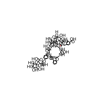 CC(c1ccccc1)C1NC(=O)CNC(=O)C(CO)NC(=O)C(C(O)C2CN(Cc3ccc(C(=O)O)cc3)C(=N)N2C2OC(CO)C(O)C(O)C2O)NC(=O)C(C(O)C2CNC(=N)N2)NC(=O)C(Cc2ccc(OC3OC(CO)C(OC4OC(CO)C(O)C(O)C4O)C(O)C3O)cc2)NC1=O